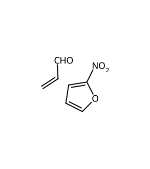 C=CC=O.O=[N+]([O-])c1ccco1